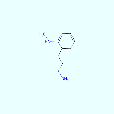 CNc1ccccc1CCCN